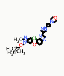 Cc1nc2ccc(Oc3ccc4ncc(-c5cnn(C6CC(N7CCOCC7)C6)c5)nc4c3Cl)cc2n1COCC[Si](C)(C)C